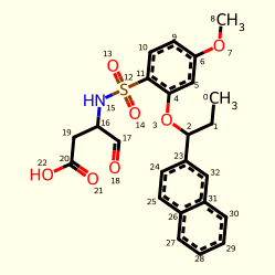 CCC(Oc1cc(OC)ccc1S(=O)(=O)NC(C=O)CC(=O)O)c1ccc2ccccc2c1